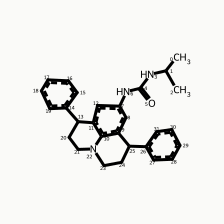 CC(C)NC(=O)Nc1cc2c3c(c1)C(c1ccccc1)CCN3CCC2c1ccccc1